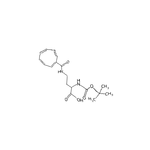 CC(C)(C)OC(=O)NC(CCNC(=O)C1=C/C=C\C=C/C=C\1)C(=O)O